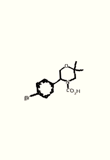 CC1(C)CN(C(=O)O)C(c2ccc(Br)cc2)CO1